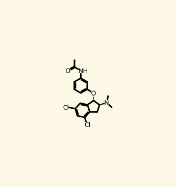 CC(=O)Nc1cccc(O[C@H]2c3cc(Cl)cc(Cl)c3C[C@@H]2N(C)C)c1